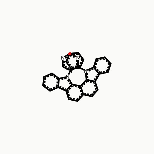 c1ccc(-n2c3ccccc3c3ccc4ccc5c6ccccc6n(-c6ncncn6)c5c4c32)cc1